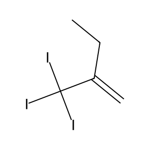 C=C(CC)C(I)(I)I